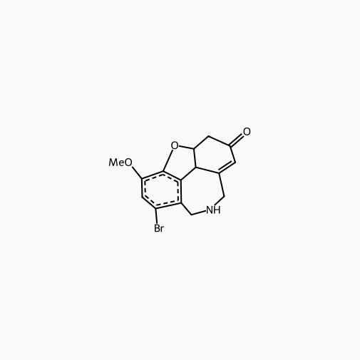 COc1cc(Br)c2c3c1OC1CC(=O)C=C(CNC2)C31